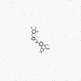 CCN1c2cnc(NCc3cnn(Cc4cc(F)c(F)c(F)c4)c3)nc2N2CC(C)(C)C=C2C1O